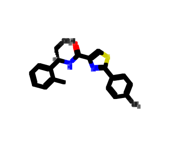 Cc1ccccc1[C@H](CC(=O)O)NC(=O)c1csc(-c2ccc(C(F)(F)F)cc2)n1